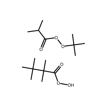 CC(C)(C)C(C)(C)C(=O)OO.CC(C)C(=O)OOC(C)(C)C